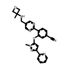 Cn1nc(-c2ccccn2)cc1Oc1cc(C#N)ccc1-c1ncc(CNC2(C)COC2)cn1